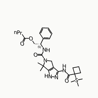 CCCC(=O)OC[C@@H](NC(=O)N1Cc2c(NC(=O)C3(S(C)(C)C)CCC3)n[nH]c2C1(C)C)c1ccccc1